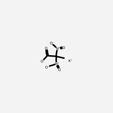 CC(C(=O)[O-])([N+](=O)[O-])[N+](=O)[O-].[K+]